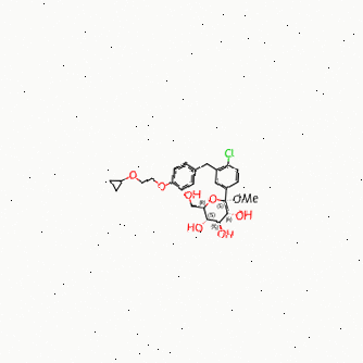 CO[C@@]1(C2C=CC(Cl)=C(Cc3ccc(OCCOC4CC4)cc3)C2)O[C@H](CO)[C@@H](O)[C@H](O)[C@H]1O